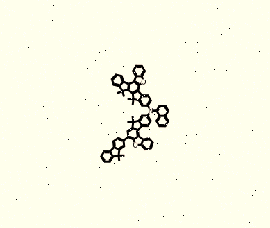 CC1(C)c2ccccc2-c2ccc(-c3cc4c(c5c3oc3ccccc35)-c3ccc(N(c5ccc6c(c5)C(C)(C)c5c7c(c8c(oc9ccccc98)c5-6)-c5ccccc5C7(C)C)c5cccc6ccccc56)cc3C4(C)C)cc21